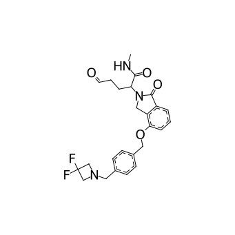 CNC(=O)C(CCC=O)N1Cc2c(OCc3ccc(CN4CC(F)(F)C4)cc3)cccc2C1=O